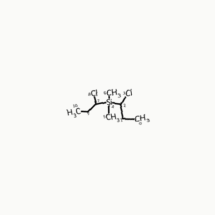 CCC(Cl)[Si](C)(C)C(Cl)CC